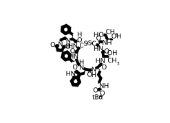 C[C@@H](O)[C@@H]1NC(=O)[C@H](CCCCNC(=O)OC(C)(C)C)NC(=O)[C@@H](Cc2c[nH]c3ccccc23)NC(=O)[C@H](Cc2ccccc2)NC(=O)[C@@H](NC(O)[C@@H](Cc2ccccc2)NCCN2C(=O)C=CC2=O)CSSC[C@@H](C(=O)N[C@H](CO)[C@@H](C)O)NC1=O